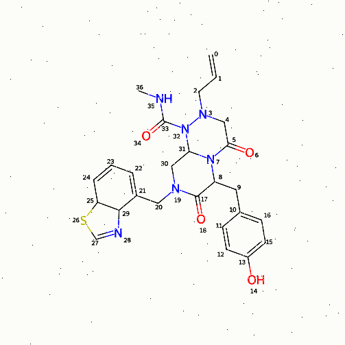 C=CCN1CC(=O)N2C(Cc3ccc(O)cc3)C(=O)N(CC3=CC=CC4SC=NC34)CC2N1C(=O)NC